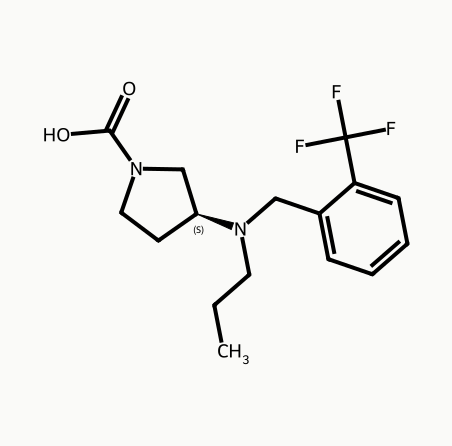 CCCN(Cc1ccccc1C(F)(F)F)[C@H]1CCN(C(=O)O)C1